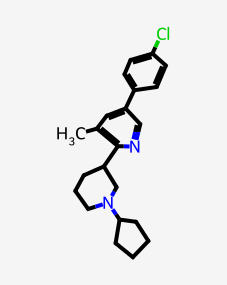 Cc1cc(-c2ccc(Cl)cc2)cnc1C1CCCN(C2CCCC2)C1